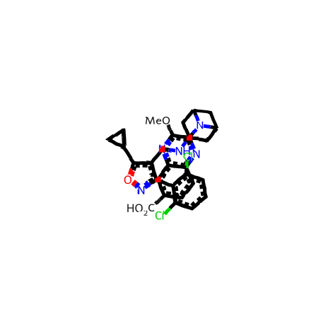 COc1nc2cc(C(=O)O)ccc2nc1N1C2CC(NCc3c(-c4c(Cl)cccc4Cl)noc3C3CC3)CC1C2